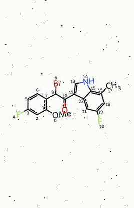 COc1cc(F)ccc1C(Br)C(=O)c1c[nH]c2c(C)cc(F)cc12